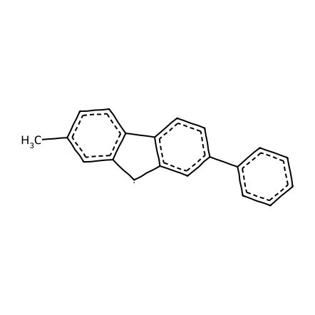 Cc1ccc2c(c1)[CH]c1cc(-c3ccccc3)ccc1-2